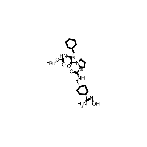 CC(C)(C)OC(=O)N[C@H](CC1CCCCC1)C(=O)N1CCC[C@H]1C(=O)NC[C@H]1CC[C@H](C(N)=NO)CC1